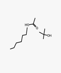 CC(=O)O.CC(C)(C)O.CCCCCCC